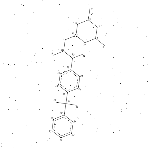 CC1CC(C)CN(CC(C)C(C)c2ccc(C(C)(C)c3ccccc3)cc2)C1